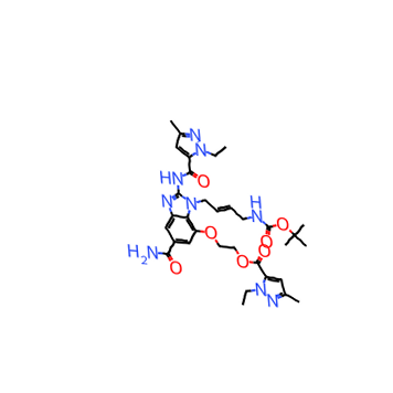 CCn1nc(C)cc1C(=O)Nc1nc2cc(C(N)=O)cc(OCCOC(=O)c3cc(C)nn3CC)c2n1C/C=C/CNC(=O)OC(C)(C)C